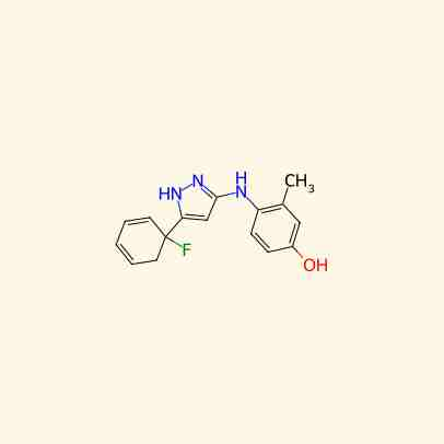 Cc1cc(O)ccc1Nc1cc(C2(F)C=CC=CC2)[nH]n1